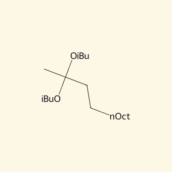 CCCCCCCCCCC(C)(OCC(C)C)OCC(C)C